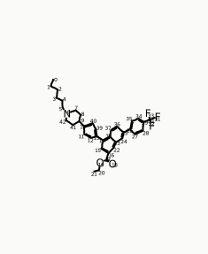 CCCCCCN1CCC(c2ccc(-c3cc(C(=O)OCC)cc4cc(-c5ccc(C(F)(F)F)cc5)ccc34)cc2)CC1